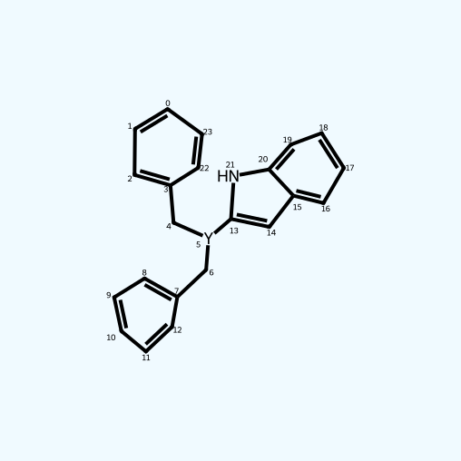 c1ccc([CH2][Y]([CH2]c2ccccc2)[c]2cc3ccccc3[nH]2)cc1